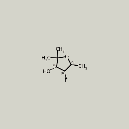 C[C@@H]1OC(C)(C)[C@@H](O)[C@H]1F